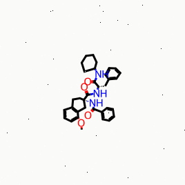 COc1cccc2c1C[C@](NC(=O)c1ccccc1)(C(=O)N[C@@H](Cc1ccccc1)C(=O)NC1CCCCC1)CC2